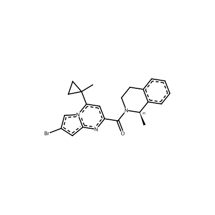 C[C@@H]1c2ccccc2CCN1C(=O)c1cc(C2(C)CC2)n2cc(Br)cc2n1